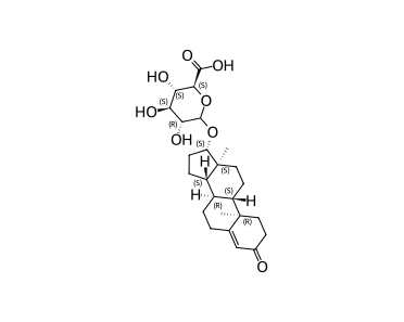 C[C@]12CC[C@H]3[C@@H](CCC4=CC(=O)CC[C@@]43C)[C@@H]1CC[C@@H]2OC1O[C@H](C(=O)O)[C@@H](O)[C@H](O)[C@H]1O